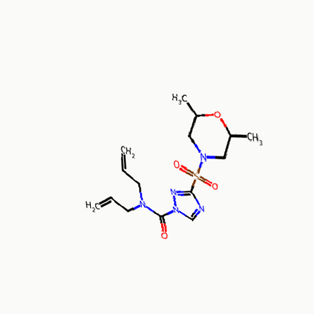 C=CCN(CC=C)C(=O)n1cnc(S(=O)(=O)N2CC(C)OC(C)C2)n1